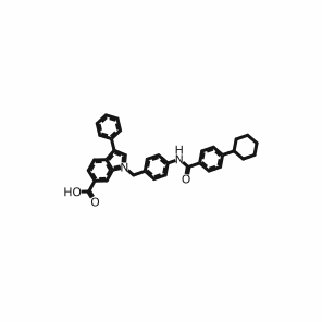 O=C(O)c1ccc2c(-c3ccccc3)cn(Cc3ccc(NC(=O)c4ccc(C5CCCCC5)cc4)cc3)c2c1